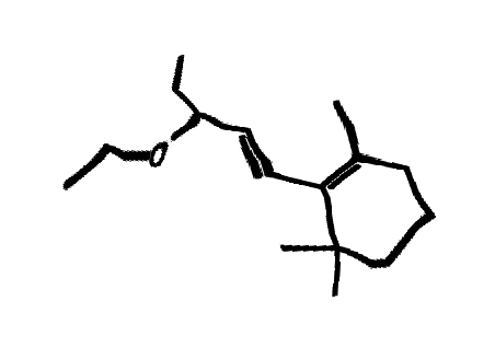 CCOC(C)C=CC1=C(C)CCCC1(C)C